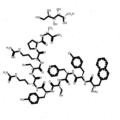 CC(=O)N[C@H](Cc1ccc2ccccc2c1)C(=O)N[C@H](Cc1ccc(Cl)cc1)C(=O)N[C@H](Cc1cccnc1)C(=O)N[C@@H](CO)C(=O)N[C@@H](Cc1ccc(O)cc1)C(=O)N[C@H](CCCNC(N)=O)C(=O)N[C@@H](CC(C)C)C(=O)N[C@@H](CCCNC(=N)N)C(=O)N1CCC[C@H]1C(=O)N[C@H](C)C(N)=O.O=C(O)[C@H](O)[C@@H](O)[C@H](O)[C@H](O)CO